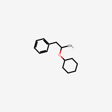 C[C](Cc1ccccc1)OC1CCCCC1